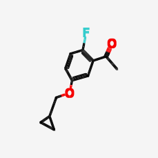 CC(=O)c1cc(OCC2CC2)ccc1F